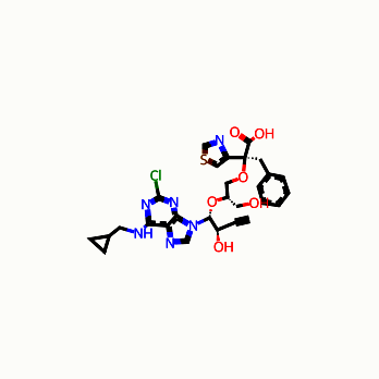 C#C[C@@H](O)[C@@H](O[C@@H](CO)CO[C@](Cc1ccccc1)(C(=O)O)c1cscn1)n1cnc2c(NCC3CC3)nc(Cl)nc21